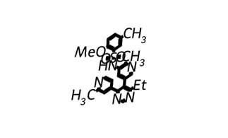 CCc1ncnc(-c2ccnc(C)c2)c1-c1cnc(C)c(NS(=O)(=O)c2cc(C)ccc2OC)c1